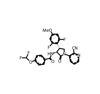 COc1cc(F)c([C@@H]2CN(c3cccnc3C#N)C(=O)[C@H]2NC(=O)c2ccc(OC(F)F)cc2)c(F)c1